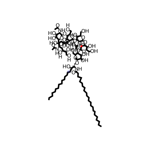 CCCCCCCCCCCCC/C=C/[C@@H](O)[C@H](CO[C@@H]1OC(CO)[C@@H](O[C@@H]2OC(CO)[C@H](O)[C@H](O[C@@H]3OC(CO)[C@@H](O)[C@H](O[C@@H]4OC(CO)[C@H](O[C@@H]5OC(CO)[C@H](O)[C@H](O)C5NC(C)=O)[C@H](O[C@]5(C(=O)O)CC(O)[C@@H](NC(C)=O)C([C@H](O)[C@H](O)CO)O5)C4O)C3NC(C)=O)C2O)[C@H](O)C1O)NC(=O)CCCCCCCCCCCCCCCCCCCCCCC